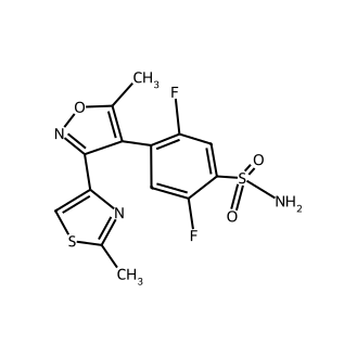 Cc1nc(-c2noc(C)c2-c2cc(F)c(S(N)(=O)=O)cc2F)cs1